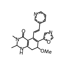 COC1CC2=C(C(=O)N(C)C(C)N2)C(C=Cc2cccnc2)=C1c1cnco1